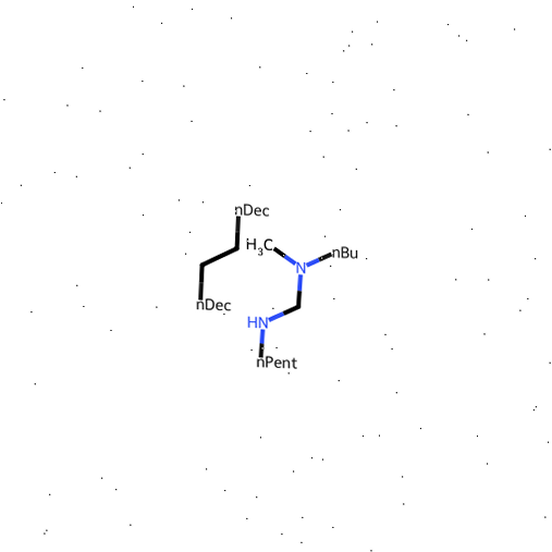 CCCCCCCCCCCCCCCCCCCCCC.CCCCCNCN(C)CCCC